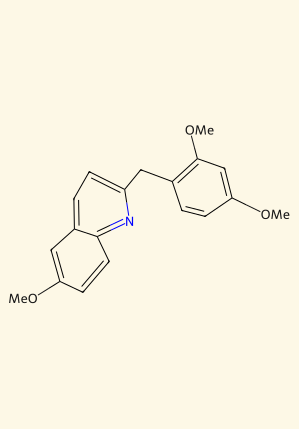 COc1ccc(Cc2ccc3cc(OC)ccc3n2)c(OC)c1